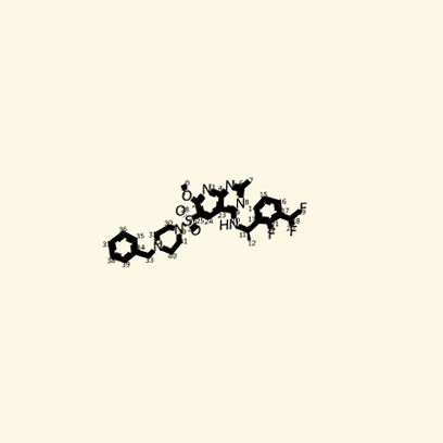 COc1nc2nc(C)nc(N[C@H](C)c3cccc(C(F)F)c3F)c2cc1S(=O)(=O)N1CCN(Cc2ccccc2)CC1